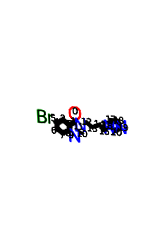 O=c1c2cc(Br)ccc2ncn1CCCCn1ccnc1